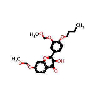 CCCCOc1ccc(-c2oc3cc(OCOC)ccc3c(=O)c2O)cc1OCOC